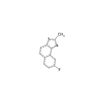 Cc1nc2c(ccc3ccc(F)cc32)s1